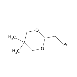 CC(C)CC1OCC(C)(C)CO1